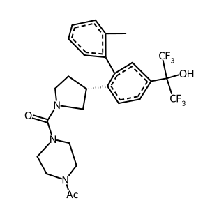 CC(=O)N1CCN(C(=O)N2CC[C@H](c3ccc(C(O)(C(F)(F)F)C(F)(F)F)cc3-c3ccccc3C)C2)CC1